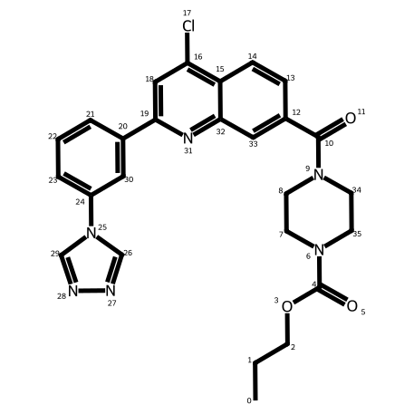 CCCOC(=O)N1CCN(C(=O)c2ccc3c(Cl)cc(-c4cccc(-n5cnnc5)c4)nc3c2)CC1